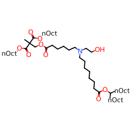 CCCCCCCCOC(=O)C(C)(COC(=O)CCCCCN(CCO)CCCCCCCC(=O)OC(CCCCCCCC)CCCCCCCC)C(=O)OCCCCCCCC